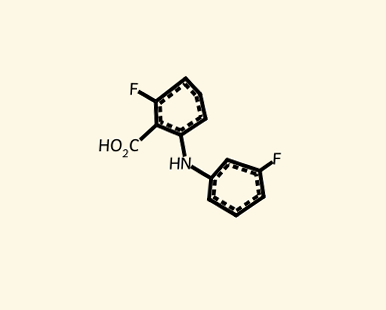 O=C(O)c1c(F)cccc1Nc1cccc(F)c1